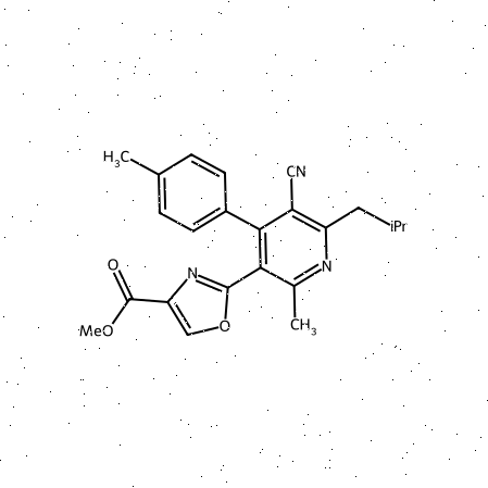 COC(=O)c1coc(-c2c(C)nc(CC(C)C)c(C#N)c2-c2ccc(C)cc2)n1